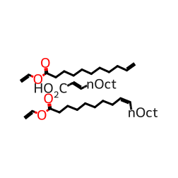 C=CCCCCCCCCC(=O)OC=C.C=COC(=O)CCCCCCC/C=C\CCCCCCCC.CCCCCCCCC=CC(=O)O